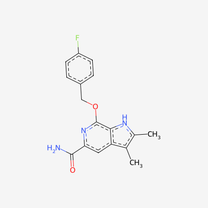 Cc1[nH]c2c(OCc3ccc(F)cc3)nc(C(N)=O)cc2c1C